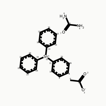 CC(=O)[O-].NC(N)=O.c1cc[c]([Sn+]([c]2ccccc2)[c]2ccccc2)cc1